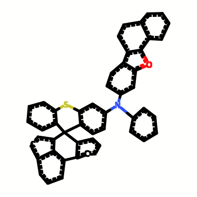 c1ccc(N(c2ccc3c(c2)Sc2ccccc2C32c3ccccc3-c3cccc4cccc2c34)c2ccc3c(c2)oc2c4ccccc4ccc32)cc1